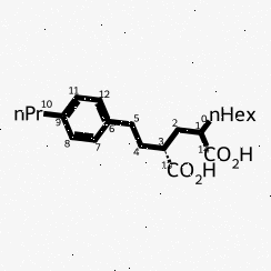 CCCCCCC(C[C@@H](CCc1ccc(CCC)cc1)C(=O)O)C(=O)O